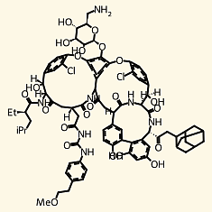 CC[C@H](CC(C)C)C(=O)N[C@H]1C(=O)C[C@@H](CC(=O)NC(=O)Nc2ccc(CCOC)cc2)C(=O)NC2C(=O)C[C@H]3C(=O)N[C@H](C(=O)N[C@H](C(=O)CC4C5CC6CC(C5)CC4C6)c4cc(O)cc(O)c4-c4cc3ccc4O)[C@H](O)c3ccc(c(Cl)c3)Oc3cc2cc(c3O[C@@H]2O[C@H](CN)[C@@H](O)[C@H](O)[C@H]2O)Oc2ccc(cc2Cl)[C@H]1O